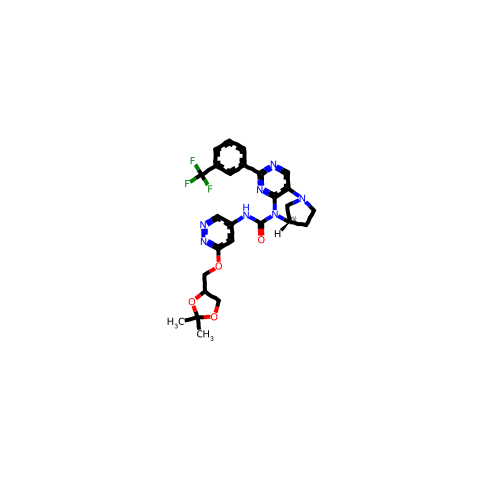 CC1(C)OCC(COc2cc(NC(=O)N3c4nc(-c5cccc(C(F)(F)F)c5)ncc4N4CC[C@H]3C4)cnn2)O1